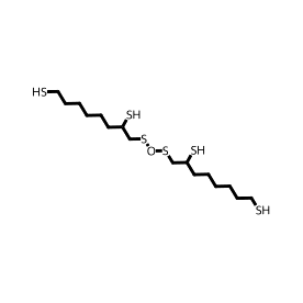 SCCCCCCC(S)CSOSCC(S)CCCCCCS